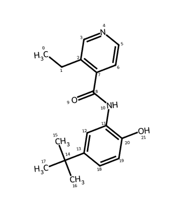 CCc1cnccc1C(=O)Nc1cc(C(C)(C)C)ccc1O